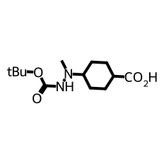 CN(NC(=O)OC(C)(C)C)C1CCC(C(=O)O)CC1